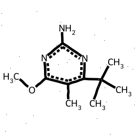 COc1nc(N)nc(C(C)(C)C)c1C